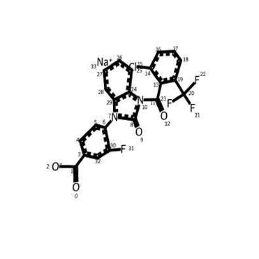 O=C([O-])c1ccc(-n2c(=O)n(C(=O)c3c(Cl)cccc3C(F)(F)F)c3ccccc32)c(F)c1.[Na+]